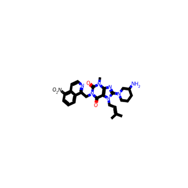 CC(C)=CCn1c(N2CCCC(N)C2)nc2c1c(=O)n(Cc1nccc3c([N+](=O)[O-])cccc13)c(=O)n2C